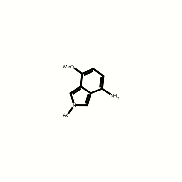 COc1ccc(N)c2cn(C(C)=O)cc12